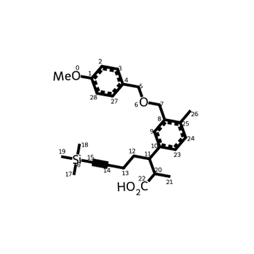 COc1ccc(COCc2cc(C(CCC#C[Si](C)(C)C)C(C)C(=O)O)ccc2C)cc1